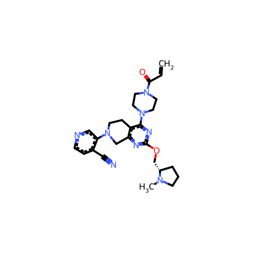 C=CC(=O)N1CCN(c2nc(OC[C@@H]3CCCN3C)nc3c2CCN(c2cnccc2C#N)C3)CC1